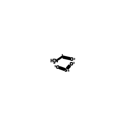 NC=O.O=S=O